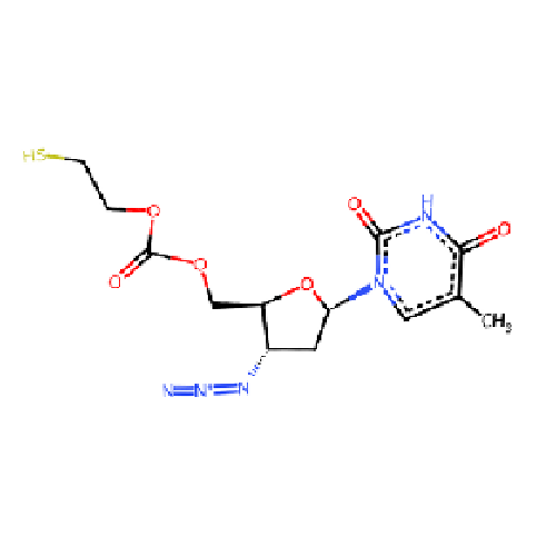 Cc1cn([C@H]2C[C@H](N=[N+]=[N-])[C@@H](COC(=O)OCCS)O2)c(=O)[nH]c1=O